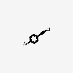 CC(=O)c1ccc(C#CCl)cc1